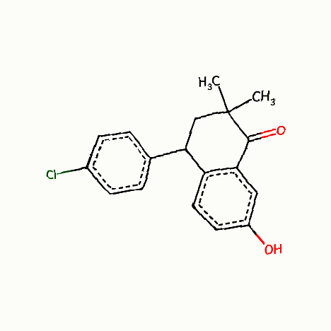 CC1(C)CC(c2ccc(Cl)cc2)c2ccc(O)cc2C1=O